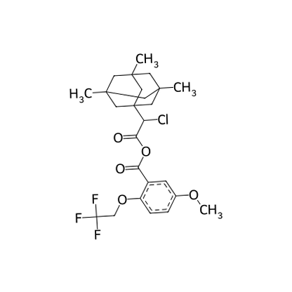 COc1ccc(OCC(F)(F)F)c(C(=O)OC(=O)C(Cl)C23CC4(C)CC(C)(CC(C)(C4)C2)C3)c1